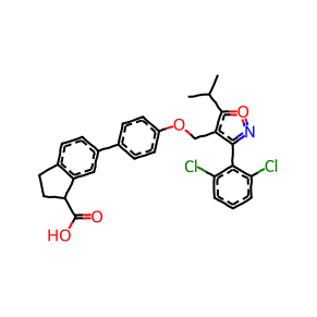 CC(C)c1onc(-c2c(Cl)cccc2Cl)c1COc1ccc(-c2ccc3c(c2)C(C(=O)O)CC3)cc1